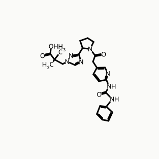 CC(C)(Cn1cnc(C2CCCN2C(=O)Cc2ccc(NC(=O)Nc3ccccc3)nc2)n1)C(=O)O